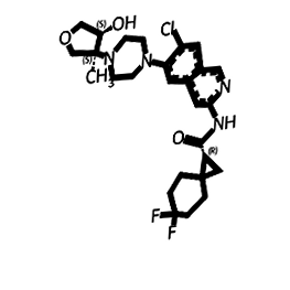 C[C@]1(N2CCN(c3cc4cc(NC(=O)[C@@H]5CC56CCC(F)(F)CC6)ncc4cc3Cl)CC2)COC[C@H]1O